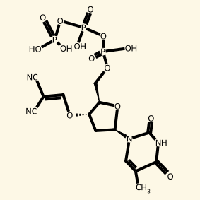 Cc1cn([C@H]2C[C@H](OC=C(C#N)C#N)[C@@H](COP(=O)(O)OP(=O)(O)OP(=O)(O)O)O2)c(=O)[nH]c1=O